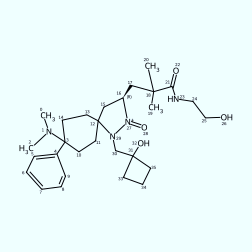 CN(C)C1(c2ccccc2)CCC2(CC1)C[C@@H](CC(C)(C)C(=O)NCCO)[N+](=O)N2CC1(O)CCC1